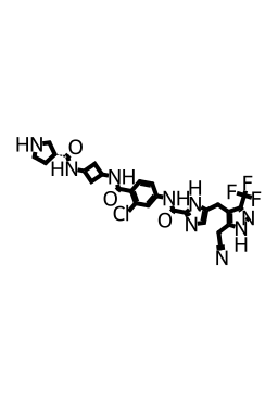 N#CCc1[nH]nc(C(F)(F)F)c1Cc1cnc(C(=O)Nc2ccc(C(=O)NC3CC(NC(=O)[C@@H]4CCNC4)C3)c(Cl)c2)[nH]1